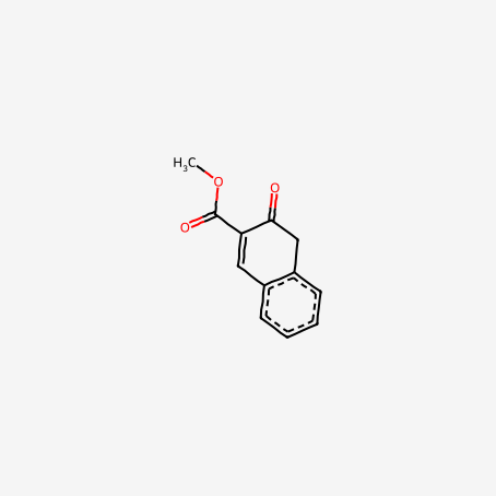 COC(=O)C1=Cc2ccccc2CC1=O